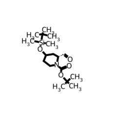 CC(C)(C)OC(=O)N1CCC(O[Si](C)(C)C(C)(C)C)C[C@@H]1C=O